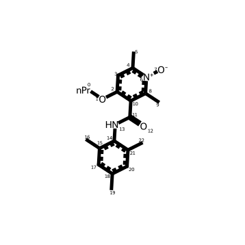 CCCOc1cc(C)[n+]([O-])c(C)c1C(=O)Nc1c(C)cc(C)cc1C